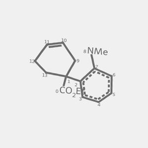 CCOC(=O)C1(c2ccccc2NC)CC=CCC1